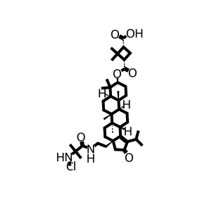 CC(C)C1=C2[C@H]3CC[C@@H]4[C@@]5(C)CC[C@H](OC(=O)[C@H]6C[C@@H](C(=O)O)C6(C)C)C(C)(C)[C@@H]5CC[C@@]4(C)[C@]3(C)CC[C@@]2(CCNC(=O)C(C)(C)NCl)CC1=O